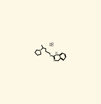 CC(CCCSC1=NCc2ccccc2N1)N1CCCC1.Cl.Cl